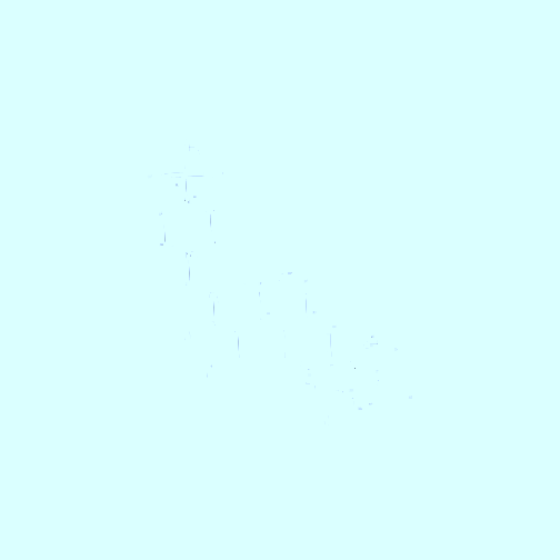 CCc1c(F)c(CN2CCN(S(C)(=O)=O)CC2)cc(F)c1-c1ccc(C(O)(C(F)(F)F)C(F)(F)F)cc1Cl